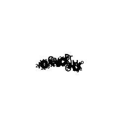 Cc1cccc(C(=O)Nc2cc3cn(CC(=O)N4CCN(C)CC4)nc3cc2Br)n1